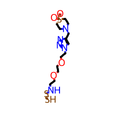 O=S1(=O)CCN(Cc2cn(CCOCCOCCNSS)nn2)CC1